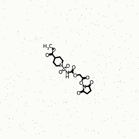 COC(=O)C1CCN(S(=O)(=O)NC(=O)OCC(=O)ON2C(=O)CCC2=O)CC1